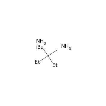 CCC(C)C(C)(CC)CC.N.N